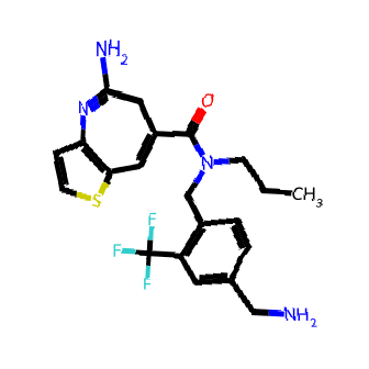 CCCN(Cc1ccc(CN)cc1C(F)(F)F)C(=O)C1=Cc2sccc2N=C(N)C1